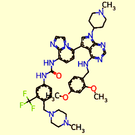 COc1ccc(CNc2ncnc3c2c(-c2ccc(NC(=O)Nc4ccc(CN5CCN(C)CC5)c(C(F)(F)F)c4)c4nccn24)cn3C2CCN(C)CC2)c(OC)c1